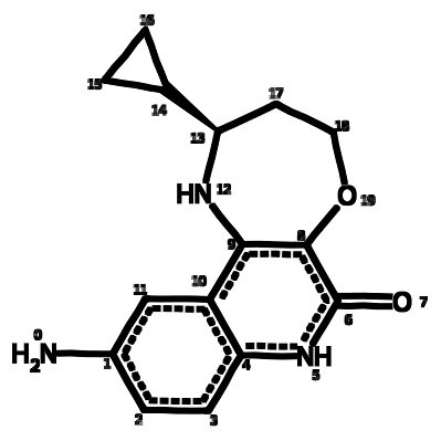 Nc1ccc2[nH]c(=O)c3c(c2c1)N[C@@H](C1CC1)CCO3